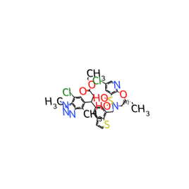 CCOC(=O)CC(c1cc(CN2C[C@@H](CC)Oc3ncc(Cl)cc3S2(O)O)c2sccc2c1)c1cc(Cl)c2c(nnn2C)c1C